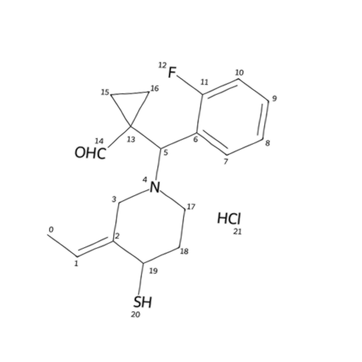 CC=C1CN(C(c2ccccc2F)C2(C=O)CC2)CCC1S.Cl